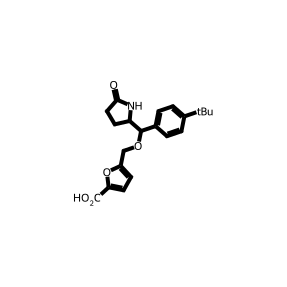 CC(C)(C)c1ccc(C(OCc2ccc(C(=O)O)o2)C2CCC(=O)N2)cc1